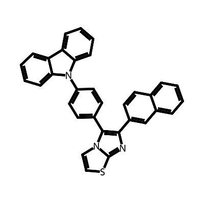 c1ccc2cc(-c3nc4sccn4c3-c3ccc(-n4c5ccccc5c5ccccc54)cc3)ccc2c1